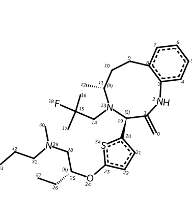 C=C1Nc2ccccc2CC[C@@H](C)N(CC(C)(C)F)[C@@H]1c1ccc(O[C@H](CC)CN(C)CCC)s1